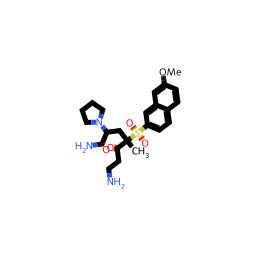 COc1ccc2ccc(S(=O)(=O)C(C)(CC(C(N)=O)N3CCCC3)C(=O)CCN)cc2c1